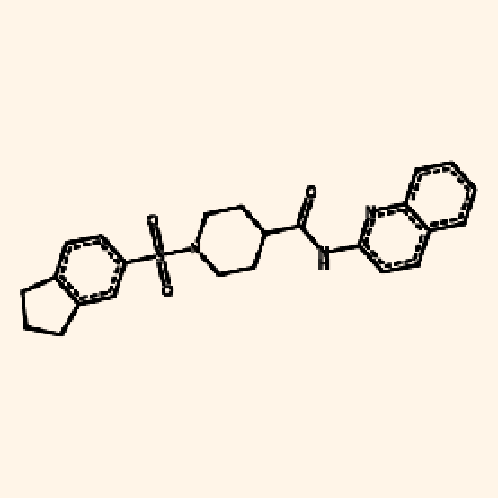 O=C(Nc1ccc2ccccc2n1)C1CCN(S(=O)(=O)c2ccc3c(c2)CCC3)CC1